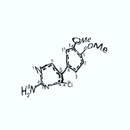 COc1ccc(-c2cnc(N)nc2Cl)cc1OC